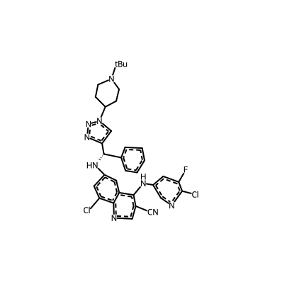 CC(C)(C)N1CCC(n2cc([C@@H](Nc3cc(Cl)c4ncc(C#N)c(Nc5cnc(Cl)c(F)c5)c4c3)c3ccccc3)nn2)CC1